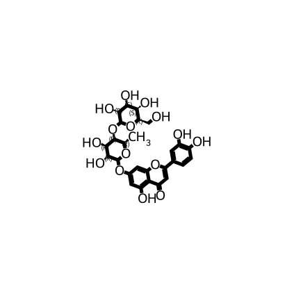 C[C@H]1OC(Oc2cc(O)c3c(=O)cc(-c4ccc(O)c(O)c4)oc3c2)[C@H](O)[C@@H](O)[C@H]1OC1O[C@H](CO)[C@@H](O)[C@H](O)[C@H]1O